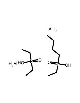 CCCCP(=O)(O)CC.CCP(=O)(O)CC.[AlH3].[AlH3]